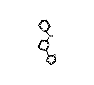 c1ccc(Nc2cccc(-c3nccs3)n2)nc1